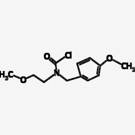 COCCN(Cc1ccc(OC)cc1)C(=O)Cl